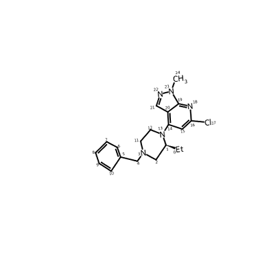 CC[C@H]1CN(Cc2ccccc2)CCN1c1cc(Cl)nc2c1cnn2C